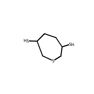 SC1CCC(S)CSC1